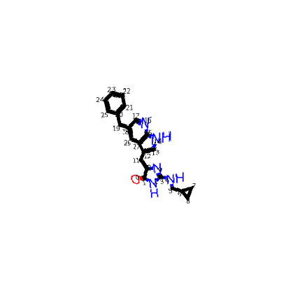 O=C1NC(NCC2CC2)=N/C1=C\c1c[nH]c2ncc(Cc3ccccc3)cc12